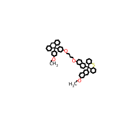 C=COc1ccc(C2(c3ccc(O/C=C/C=C/Oc4ccc5cc(C6(c7ccc8cc(OC=C)ccc8c7)c7ccccc7Sc7ccccc76)ccc5c4)cc3)c3ccccc3Cc3ccccc32)cc1